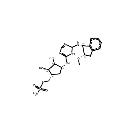 CO[C@H]1Cc2ccccc2[C@H]1NC1N=CN=C(N[C@@H]2C[C@H](COS(N)(=O)=O)[C@@H](O)[C@H]2O)N1